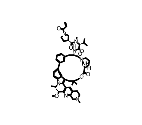 C=CC(=O)N1CC[C@H](C(=O)N(C)[C@H](C(=O)N[C@H]2Cc3cccc(c3)-c3ccc4c(c3)c(c(-c3cc5c(nc3[C@H](C)OC)CN(C)CC5)n4CC)CC(C)(C)COC(=O)[C@@H]3CCCN(N3)C2=O)C(C)C)C1